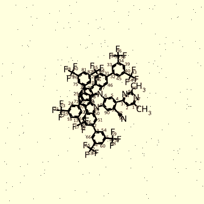 Cc1cc(-c2cc(-n3c4cc(-c5cc(C(F)(F)F)cc(C(F)(F)F)c5)ccc4c4ccc(-c5cc(C(F)(F)F)cc(C(F)(F)F)c5)cc43)c(-n3c4cc(-c5cc(C(F)(F)F)cc(C(F)(F)F)c5)ccc4c4ccc(-c5cc(C(F)(F)F)cc(C(F)(F)F)c5)cc43)cc2C#N)nc(C)n1